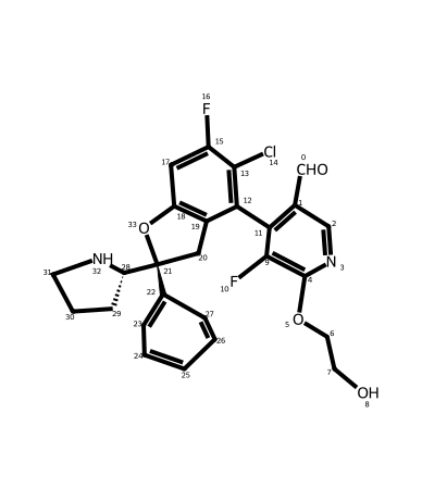 O=Cc1cnc(OCCO)c(F)c1-c1c(Cl)c(F)cc2c1C[C@](c1ccccc1)([C@@H]1CCCN1)O2